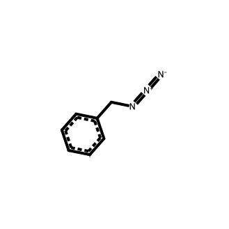 [N-]=[N+]=NCc1c[c]ccc1